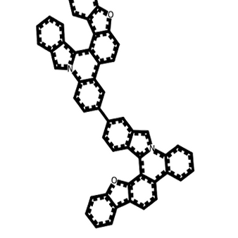 c1ccc2c(c1)cn1c3ccc(-c4ccc5c(c4)cn4c6ccccc6c6ccc7c8ccccc8oc7c6c54)cc3c3ccc4oc5ccccc5c4c3c21